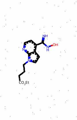 CCOC(=O)CCCn1ccc2c(C(=N)NO)ccnc21